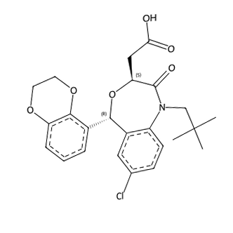 CC(C)(C)CN1C(=O)[C@H](CC(=O)O)O[C@@H](c2cccc3c2OCCO3)c2cc(Cl)ccc21